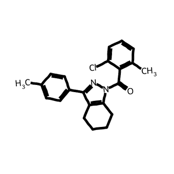 Cc1ccc(-c2nn(C(=O)c3c(C)cccc3Cl)c3c2CCCC3)cc1